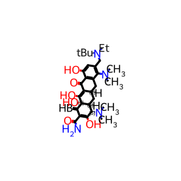 B=C1C(C(N)=O)=C(O)[C@@H](N(C)C)[C@@H]2C[C@@H]3Cc4c(c(O)cc(CN(CC)C(C)(C)C)c4N(C)C)C(=O)C3=C(O)[C@]12O